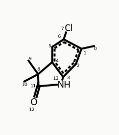 Cc1cc2c(cc1Cl)C(C)(C)C(=O)N2